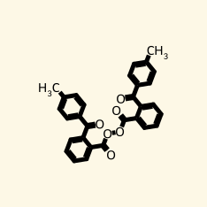 Cc1ccc(C(=O)c2ccccc2C(=O)OOC(=O)c2ccccc2C(=O)c2ccc(C)cc2)cc1